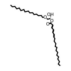 CCCCCCCCCCCCCC=CC=CC=CC(=O)O[C@@H](CO)COCCCCCCCCCCCCCCCC